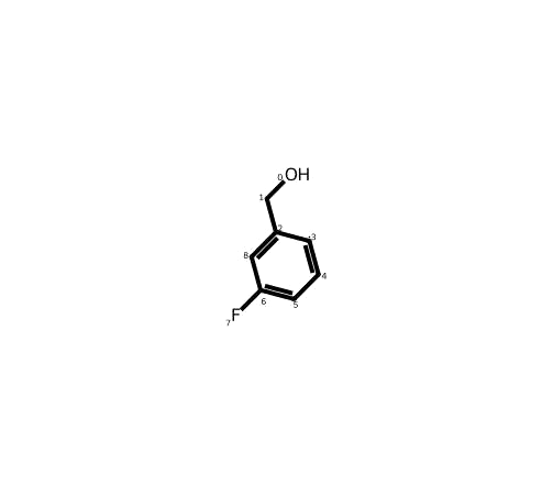 OCc1[c]ccc(F)c1